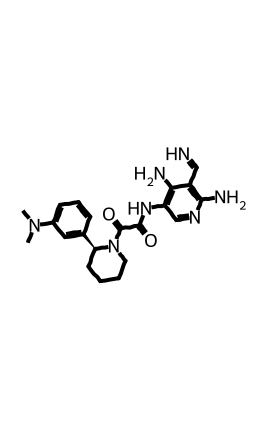 CN(C)c1cccc([C@@H]2CCCCN2C(=O)C(=O)Nc2cnc(N)c(C=N)c2N)c1